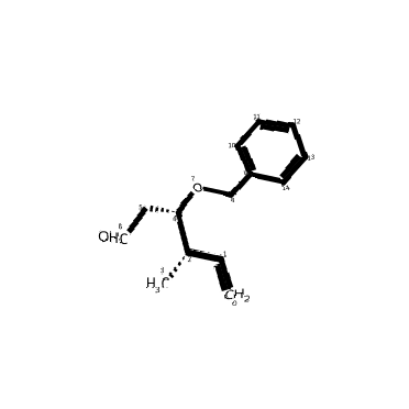 C=C[C@H](C)[C@H](CC=O)OCc1ccccc1